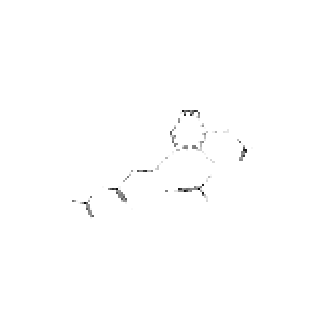 CC(=O)OC(=O)CCc1cccc(OC(C)=O)c1OC(C)=O